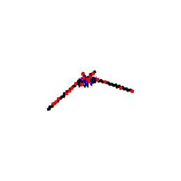 CCCCCCCCCCCCCCCCCCCCCc1ccc(N=C(CCCC)C(CCCCCC)=[N+]([Ni])c2ccc(CCCCCCCCCCCCCCCCCCCCC)cc2)cc1